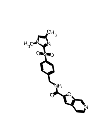 Cc1cn(C)c(S(=O)(=O)c2ccc(CNC(=O)c3cc4ccncc4o3)cc2)n1